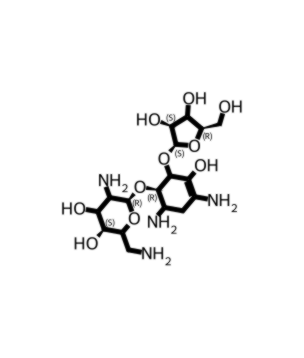 NCC1O[C@H](O[C@@H]2C(N)CC(N)=C(O)C2O[C@@H]2O[C@H](CO)C(O)[C@@H]2O)C(N)C(O)[C@@H]1O